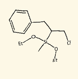 CCO[Si](C)(OCC)C(CCl)Cc1ccccc1